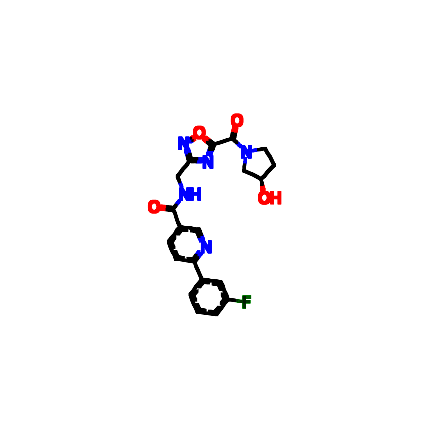 O=C(NCc1noc(C(=O)N2CC[C@@H](O)C2)n1)c1ccc(-c2cccc(F)c2)nc1